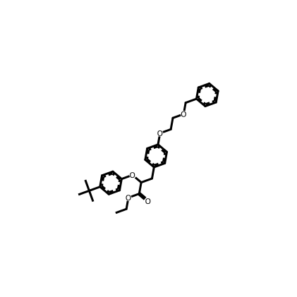 CCOC(=O)C(Cc1ccc(OCCOCc2ccccc2)cc1)Oc1ccc(C(C)(C)C)cc1